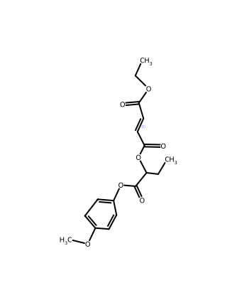 CCOC(=O)/C=C/C(=O)OC(CC)C(=O)Oc1ccc(OC)cc1